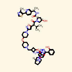 Cc1ncsc1-c1ccc([C@H](C)NC(=O)[C@@H]2C[C@@H](O)CN2C(=O)[C@H](c2cc(N3CCC(OC4CCN(CC5CC(Oc6cc(N7C8CC[C@@H]7CN(c7cc(-c9ccccc9O)nnc7N)C8)ccn6)C5)CC4)CC3)no2)C(C)C)cn1